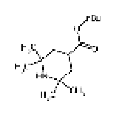 CCCCOC(=O)C1CC(C)(C)NC(C)(C)C1